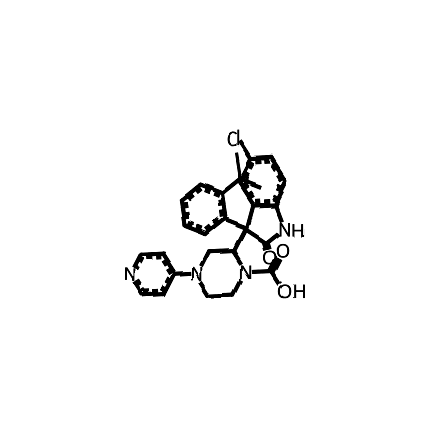 CC(C)c1ccccc1C1(C2CN(c3ccncc3)CCN2C(=O)O)C(=O)Nc2ccc(Cl)cc21